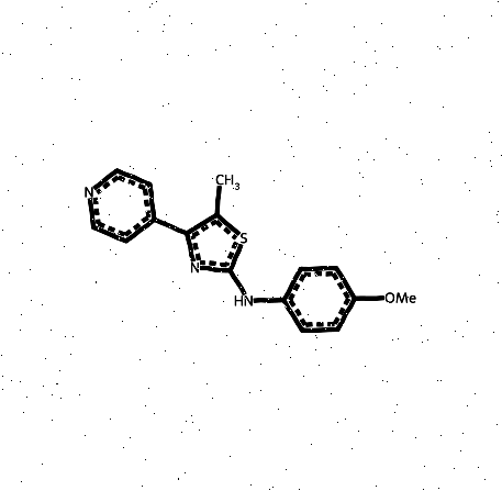 COc1ccc(Nc2nc(-c3ccncc3)c(C)s2)cc1